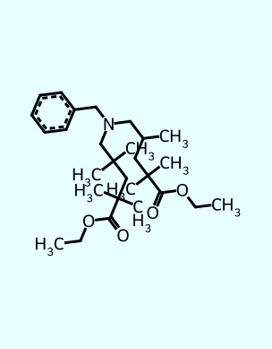 CCOC(=O)C(C)(C)CC(C)CN(Cc1ccccc1)CC(C)(C)CC(C)(C)C(=O)OCC